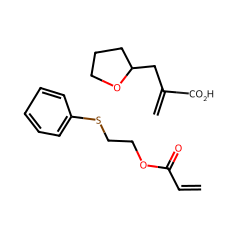 C=C(CC1CCCO1)C(=O)O.C=CC(=O)OCCSc1ccccc1